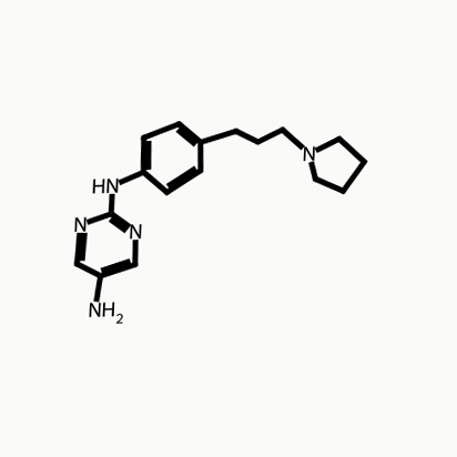 Nc1cnc(Nc2ccc(CCCN3CCCC3)cc2)nc1